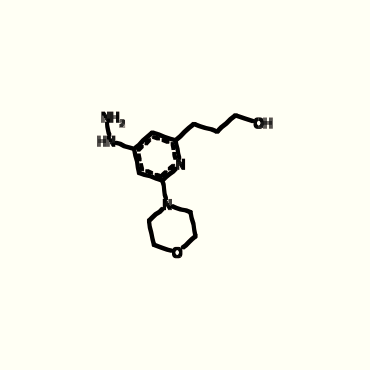 NNc1cc(CCCO)nc(N2CCOCC2)c1